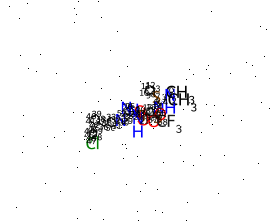 CN(C)CCC(CSc1ccccc1)Nc1ccc(S(=O)(=O)Nc2ncnc3c2CCN(C2CCC(Cc4ccccc4-c4ccc(Cl)cc4)CC2)C3)cc1S(=O)(=O)C(F)(F)F